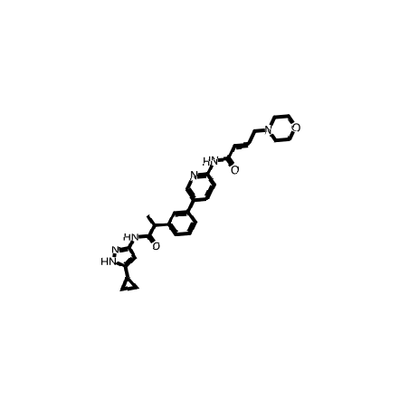 CC(C(=O)Nc1cc(C2CC2)[nH]n1)c1cccc(-c2ccc(NC(=O)C=CCN3CCOCC3)nc2)c1